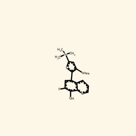 CCCCCCc1c[c]([Sn]([CH3])([CH3])[CH3])sc1-c1cc(F)c(O)c2ncccc12